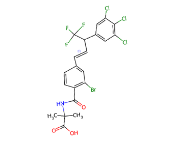 CC(C)(NC(=O)c1ccc(/C=C/C(c2cc(Cl)c(Cl)c(Cl)c2)C(F)(F)F)cc1Br)C(=O)O